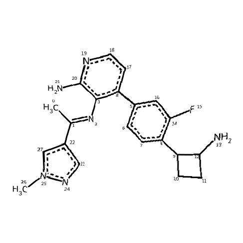 C/C(=N\c1c(-c2ccc(C3CCC3N)c(F)c2)ccnc1N)c1cnn(C)c1